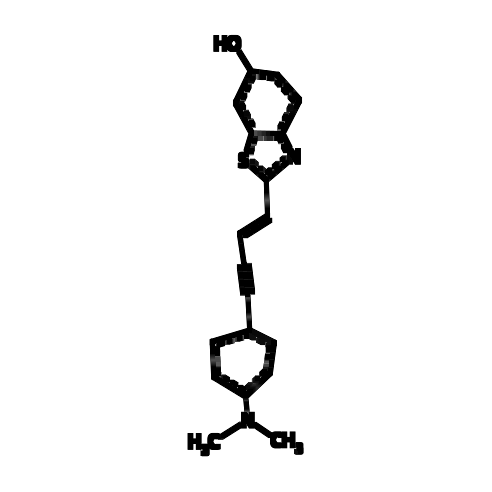 CN(C)c1ccc(C#CC=Cc2nc3ccc(O)cc3s2)cc1